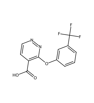 O=C(O)c1ccnnc1Oc1cccc(C(F)(F)F)c1